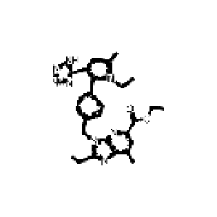 CCOC(=O)c1cc(C)c2nc(CC)n(Cc3ccc(-c4c(-c5nnn[nH]5)cc(C)n4CC)cc3)c2n1